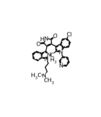 Cc1c(C2=C(c3nn(CCCN(C)C)c4ccccc34)C(=O)NC2=O)c2cc(Cl)ccc2n1-c1cccnc1